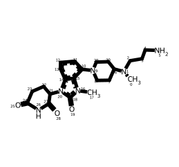 CN(CCCN)C1CCN(c2cccc3c2n(C)c(=O)n3C2CCC(=O)NC2=O)CC1